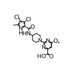 COc1cc(C(=O)O)nc(N2CCC(NC(=O)c3[nH]c(C)c(Cl)c3Cl)CC2)n1